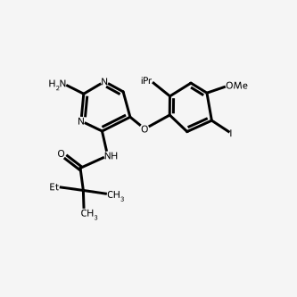 CCC(C)(C)C(=O)Nc1nc(N)ncc1Oc1cc(I)c(OC)cc1C(C)C